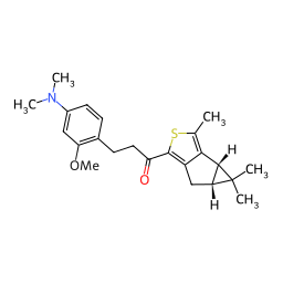 COc1cc(N(C)C)ccc1CCC(=O)c1sc(C)c2c1C[C@@H]1[C@H]2C1(C)C